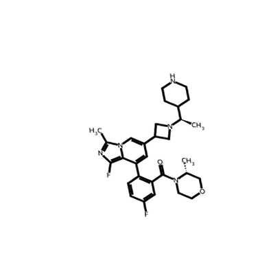 Cc1nc(F)c2c(-c3ccc(F)cc3C(=O)N3CCOC[C@H]3C)cc(C3CN([C@H](C)C4CCNCC4)C3)cn12